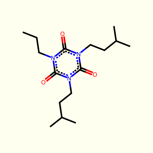 CCCn1c(=O)n(CCC(C)C)c(=O)n(CCC(C)C)c1=O